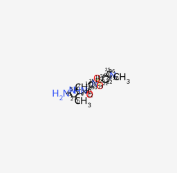 Cc1cc(N)nc(C)c1CNC(=O)c1ccn(S(=O)(=O)c2ccc3c(ccn3C)c2)c1